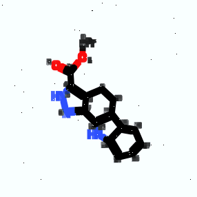 CCCOC(=O)c1[nH]nc2c1CCc1c-2[nH]c2ccccc12